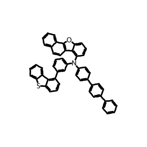 c1ccc(-c2ccc(-c3ccc(N(c4cccc(-c5cccc6sc7ccccc7c56)c4)c4cccc5oc6c7ccccc7ccc6c45)cc3)cc2)cc1